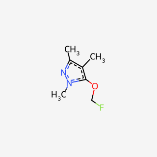 Cc1nn(C)c(OCF)c1C